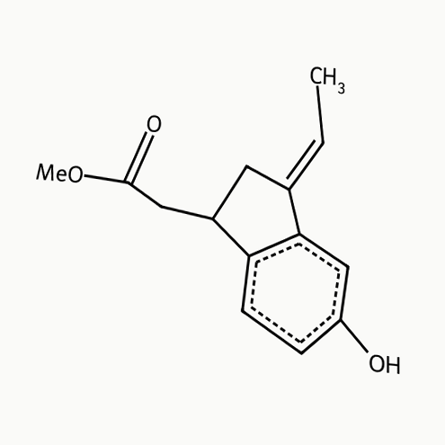 CC=C1CC(CC(=O)OC)c2ccc(O)cc21